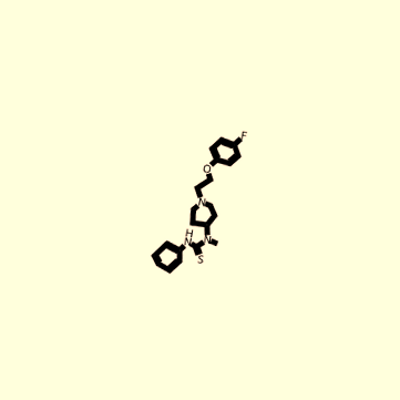 CN(C(=S)Nc1ccccc1)C1CCN(CCOc2ccc(F)cc2)CC1